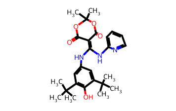 CC1(C)OC(=O)C(=C(Nc2cc(C(C)(C)C)c(O)c(C(C)(C)C)c2)Nc2ccccn2)C(=O)O1